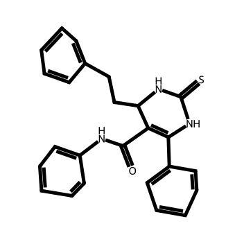 O=C(Nc1ccccc1)C1=C(c2ccccc2)NC(=S)NC1CCc1ccccc1